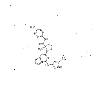 Cc1ccc(NC(=O)[C@]2(C)CCCN2c2nc(Nc3cc(C4CC4)[nH]n3)n3cccc3n2)cn1